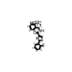 O=C(O)C[C@H](NC(=O)c1csc(-c2ccccc2F)n1)c1ccccc1Cl